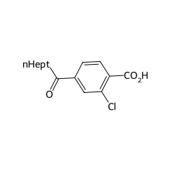 CCCCCCCC(=O)c1ccc(C(=O)O)c(Cl)c1